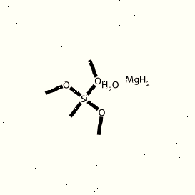 CO[Si](C)(OC)OC.O.[MgH2]